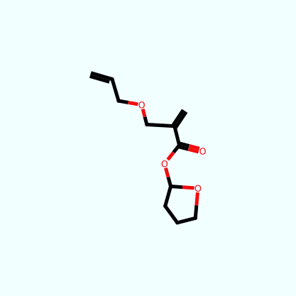 C=CCOCC(=C)C(=O)OC1CCCO1